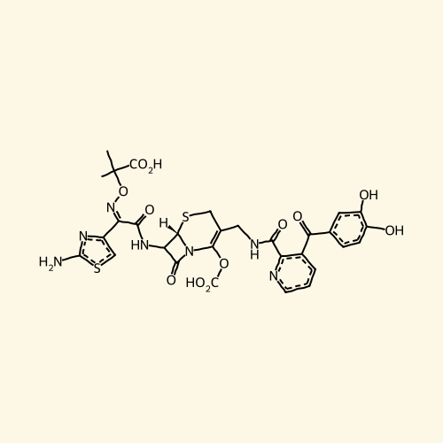 CC(C)(O/N=C(\C(=O)NC1C(=O)N2C(OC(=O)O)=C(CNC(=O)c3ncccc3C(=O)c3ccc(O)c(O)c3)CS[C@@H]12)c1csc(N)n1)C(=O)O